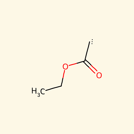 [C]C(=O)OCC